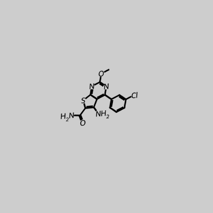 COc1nc(-c2cccc(Cl)c2)c2c(N)c(C(N)=O)sc2n1